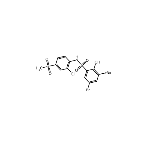 CC(C)(C)c1cc(Br)cc(S(=O)(=O)Nc2ccc(S(C)(=O)=O)cc2Cl)c1O